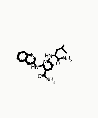 CC(C)CC(Nc1ccc(C(N)=O)c(Nc2cnc3ccccc3c2)n1)C(N)=O